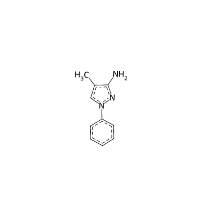 Cc1cn(-c2ccccc2)nc1N